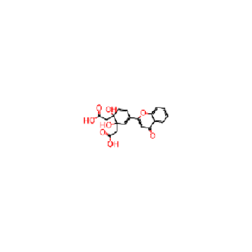 O=C(O)CC1(O)C=CC(c2cc(=O)c3ccccc3o2)=CC1(O)CC(=O)O